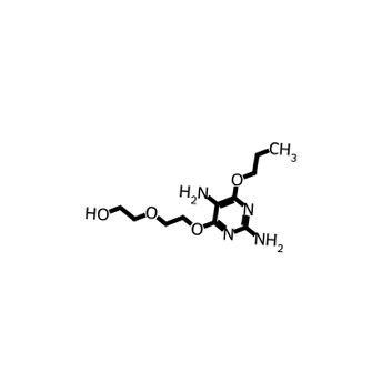 CCCOc1nc(N)nc(OCCOCCO)c1N